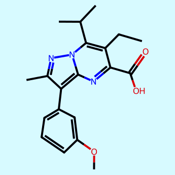 CCc1c(C(=O)O)nc2c(-c3cccc(OC)c3)c(C)nn2c1C(C)C